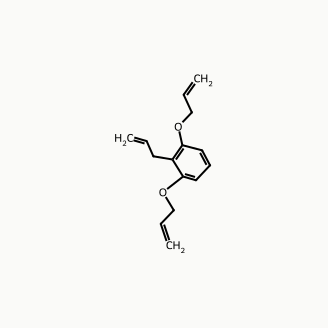 C=CCOc1cccc(OCC=C)c1CC=C